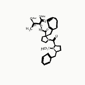 COC(=O)[C@@H](NC(=O)C1(Cc2ccccc2)CCCN1C(=O)C1CCC(Cc2ccccc2)N1C(=O)O)[C@@H](C)OC(C)=O